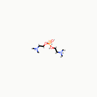 CN(C)CCO[PH](=O)OCCN(C)C